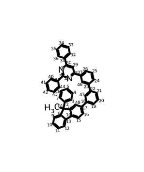 CC1(c2ccccc2)c2ccccc2-c2ccc(-c3cccc(-c4cccc(-c5cc(-c6ccccc6)nc(-c6ccccc6)n5)c4)c3)cc21